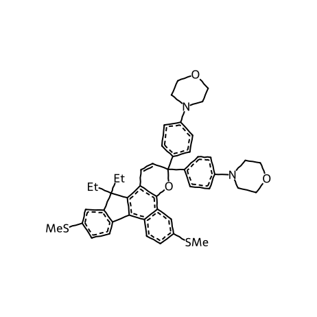 CCC1(CC)c2cc(SC)ccc2-c2c1c1c(c3cc(SC)ccc23)OC(c2ccc(N3CCOCC3)cc2)(c2ccc(N3CCOCC3)cc2)C=C1